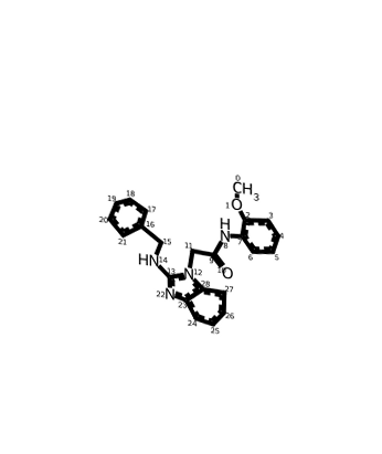 COc1ccccc1NC(=O)Cn1c(NCc2ccccc2)nc2ccccc21